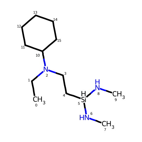 CCN(CC[SiH](NC)NC)C1CCCCC1